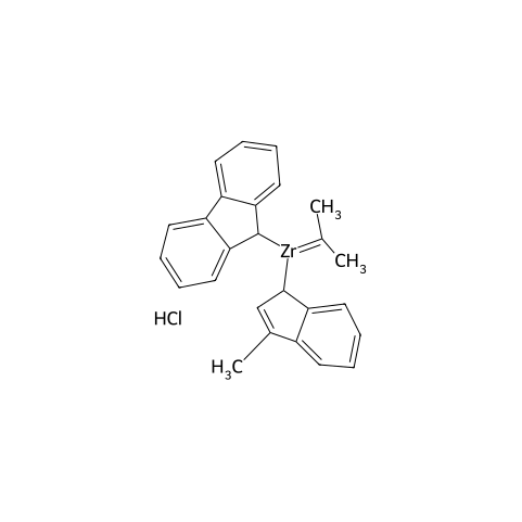 CC1=C[CH]([Zr](=[C](C)C)[CH]2c3ccccc3-c3ccccc32)c2ccccc21.Cl